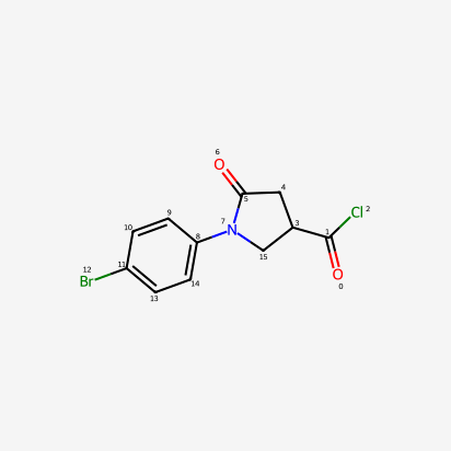 O=C(Cl)C1CC(=O)N(c2ccc(Br)cc2)C1